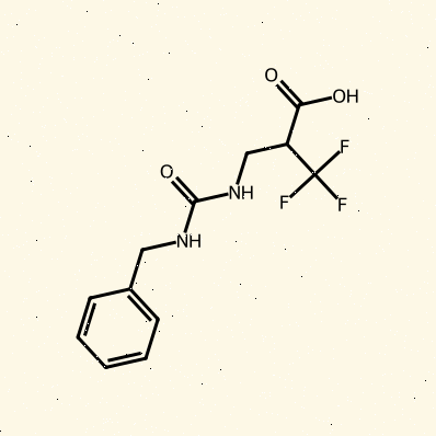 O=C(NCc1ccccc1)NCC(C(=O)O)C(F)(F)F